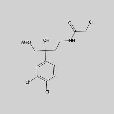 COCC(O)(CCNC(=O)CCl)c1ccc(Cl)c(Cl)c1